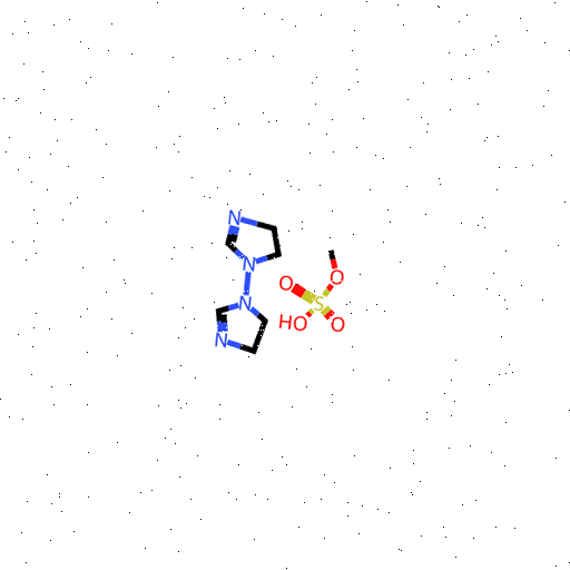 C1=NCCN1N1C=NCC1.COS(=O)(=O)O